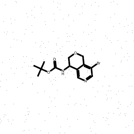 CC(C)(C)OC(=O)NC1COCc2c(Br)cncc21